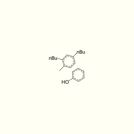 CCCCc1ccc(C)c(CCCC)c1.Oc1ccccc1